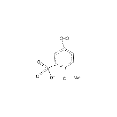 O=Cc1ccc(Cl)c(S(=O)(=O)[O-])c1.[Na+]